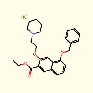 CCOC(=O)c1cc2cccc(OCc3ccccc3)c2cc1OCCN1CCCCC1.Cl